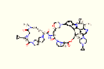 CO[C@@H](C)c1ncc(N2CCN(C3CC3)CC2)cc1-c1c2c3cc(ccc3n1CC(F)(F)F)N1CCO[C@@H](C[C@H](NC(=O)[C@H](C(C)C)N3CC[C@]4(CCN(C(=O)[C@H]5[C@@H](C6CC6)N5CC(=O)N(C)C)C4)C3)C(=O)N3CCC[C@H](N3)C(=O)OCC(C)(C)C2)C1